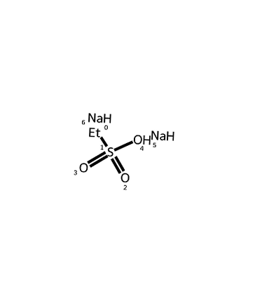 CCS(=O)(=O)O.[NaH].[NaH]